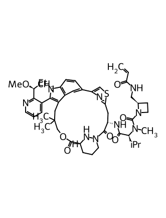 C=CC(=O)NC[C@H]1CCN1C(=O)N(C)[C@H](C(=O)N[C@H]1Cc2nc(cs2)-c2ccc3c(c2)c(c(-c2cccnc2[C@H](C)OC)n3CC)CC(C)(C)COC(=O)[C@@H]2CCCN(N2)C1=O)C(C)C